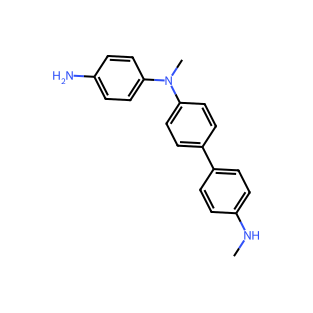 CNc1ccc(-c2ccc(N(C)c3ccc(N)cc3)cc2)cc1